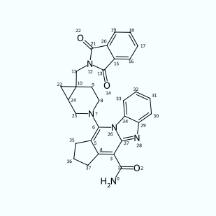 NC(=O)c1c2c(c(N3CCC4(CN5C(=O)c6ccccc6C5=O)CC4C3)n3c1nc1ccccc13)CCC2